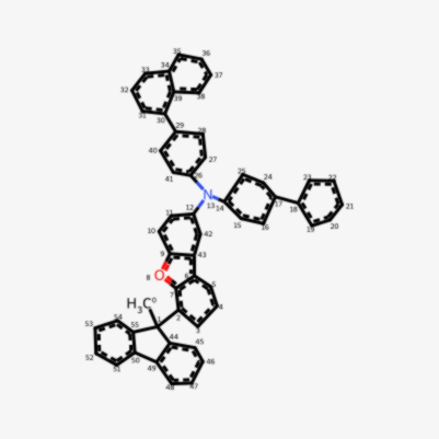 CC1(c2cccc3c2oc2ccc(N(c4ccc(-c5ccccc5)cc4)c4ccc(-c5cccc6ccccc56)cc4)cc23)c2ccccc2-c2ccccc21